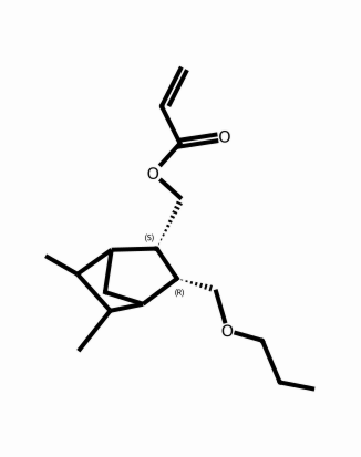 C=CC(=O)OC[C@H]1C2CC(C(C)C2C)[C@H]1COCCC